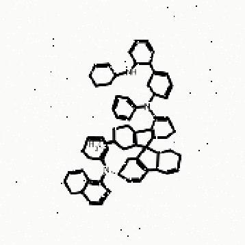 CC1CCC2=C(C1)C1(C3=C2C(N(c2ccccc2)C2C=CC=C(C4C=CC=CC4NC4C=CCCC4)C2)=CCC3)C2=C(C=C[C@H](N(C3=CC=CCC3)C3=C4C=CCCC4CC=C3)C2)C2C=CCCC21